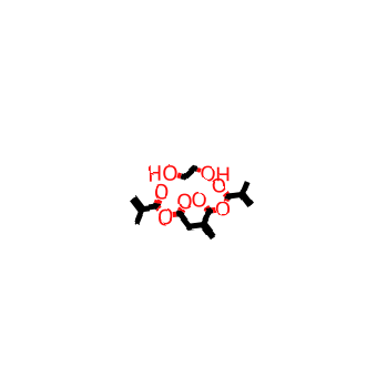 C=C(C)C(=O)OC(=O)CC(=C)C(=O)OC(=O)C(=C)C.OCCO